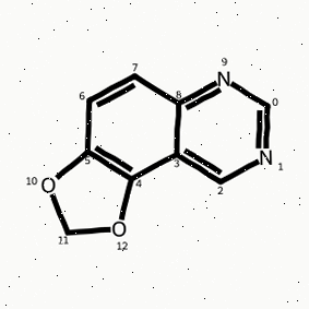 c1ncc2c3c(ccc2n1)OCO3